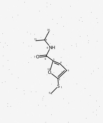 CSc1ccc(C(=O)NC(C)C)o1